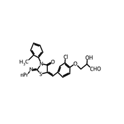 CCC/N=C1\S/C(=C/c2ccc(OCC(O)C=O)c(Cl)c2)C(=O)N1c1ccccc1C